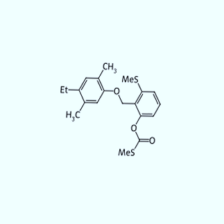 CCc1cc(C)c(OCc2c(OC(=O)SC)cccc2SC)cc1C